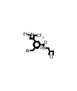 CCn1cc(-c2cc(CBr)cc(C(=O)NCC3CCOC3)c2)c(C(F)(F)F)n1